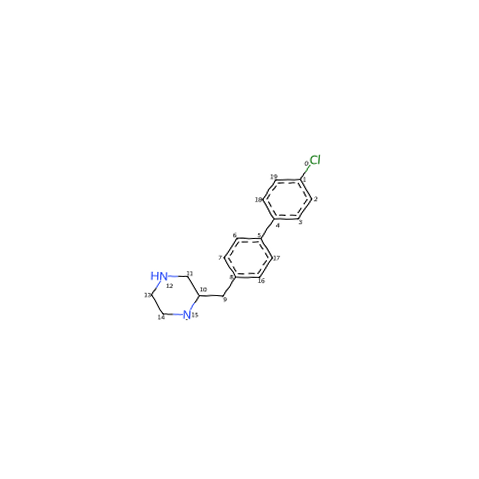 Clc1ccc(-c2ccc(CC3CNCC[N]3)cc2)cc1